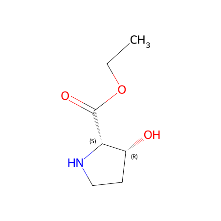 CCOC(=O)[C@H]1NCC[C@H]1O